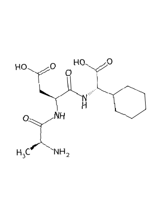 C[C@H](N)C(=O)N[C@@H](CC(=O)O)C(=O)N[C@H](C(=O)O)C1CCCCC1